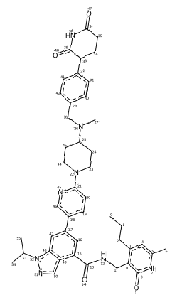 CCCc1cc(C)[nH]c(=O)c1CNC(=O)c1cc(-c2ccc(N3CCC(N(C)Cc4ccc(C5CCC(=O)NC5=O)cc4)CC3)nc2)cc2c1cnn2C(C)C